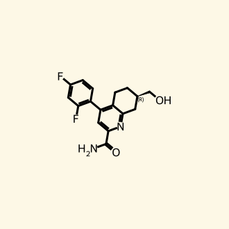 NC(=O)c1cc(-c2ccc(F)cc2F)c2c(n1)C[C@H](CO)CC2